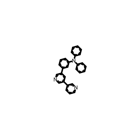 c1ccc(N(c2ccccc2)c2cccc(-c3cncc(-c4cccnc4)c3)c2)cc1